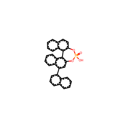 O=P1(O)Oc2ccc3ccccc3c2-c2c(cc(-c3cccc4ccccc34)c3ccccc23)O1